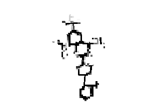 C=C1N=C(N2CCC(c3ccccc3F)CC2)Sc2c1cc(C(F)(F)F)cc2[N+](=O)[O-]